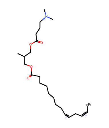 CCC/C=C\C/C=C\CCCCCCCC(=O)OCC(C)COC(=O)CCCN(C)C